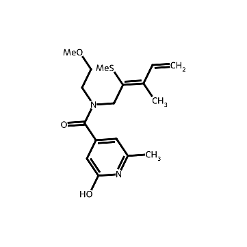 C=C/C(C)=C(/CN(CCOC)C(=O)c1cc(C)nc(O)c1)SC